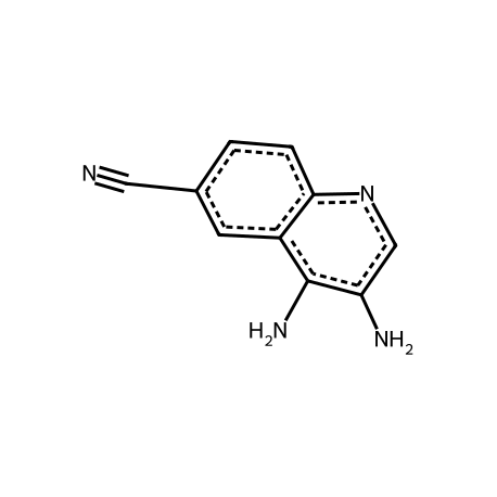 N#Cc1ccc2ncc(N)c(N)c2c1